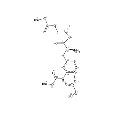 C[C@@H](COC(=O)OC(C)(C)C)OC(=O)[C@@H](N)Cc1ccc(OC(=O)OC(C)(C)C)c(OC(=O)OC(C)(C)C)c1